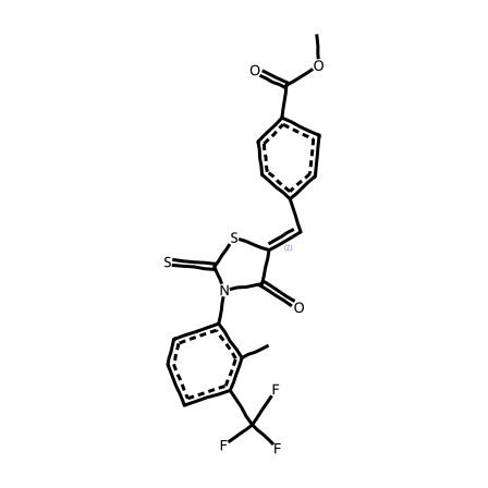 COC(=O)c1ccc(/C=C2\SC(=S)N(c3cccc(C(F)(F)F)c3C)C2=O)cc1